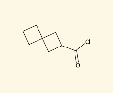 O=C(Cl)C1CC2(CCC2)C1